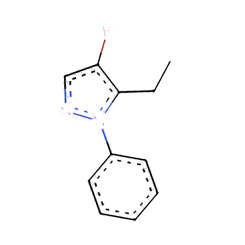 CCc1c(Br)[c]nn1-c1ccccc1